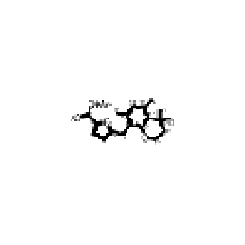 COC(=O)c1ccc(Cc2c(C)cc(C)c3c2OCCC3(C)C)o1